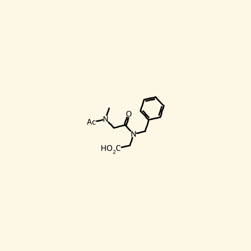 CC(=O)N(C)CC(=O)N(CC(=O)O)Cc1ccccc1